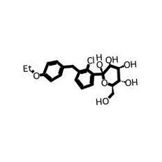 CCOc1ccc(Cc2cccc([C@@]3(O)O[C@H](CO)[C@@H](O)[C@H](O)[C@H]3O)c2Cl)cc1